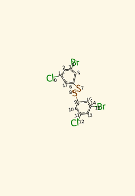 Clc1cc(Br)cc(SSc2cc(Cl)cc(Br)c2)c1